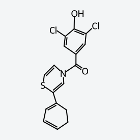 O=C(c1cc(Cl)c(O)c(Cl)c1)N1C=CSC(C2=CC=CCC2)=C1